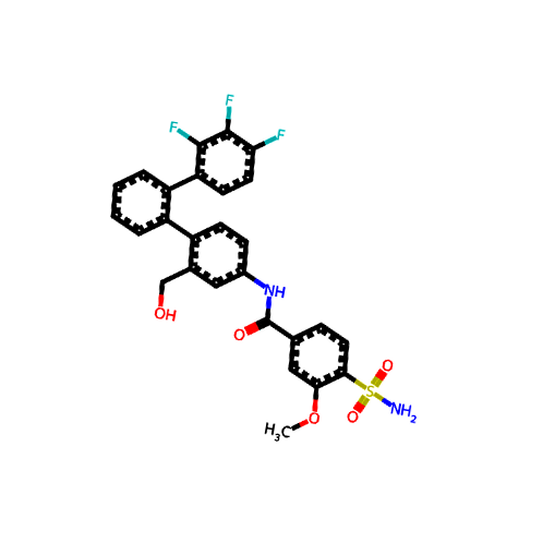 COc1cc(C(=O)Nc2ccc(-c3ccccc3-c3ccc(F)c(F)c3F)c(CO)c2)ccc1S(N)(=O)=O